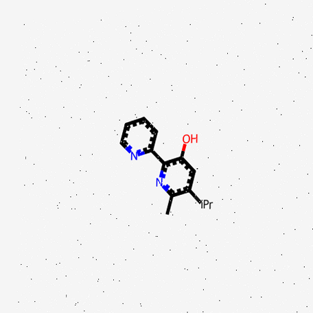 Cc1nc(-c2ccccn2)c(O)cc1C(C)C